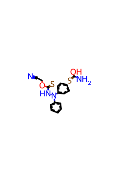 N#CCOC(=S)NN(c1ccccc1)c1ccccc1.NC(O)=S